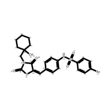 CC(=O)c1ccc(S(=O)(=O)Nc2ccc(C=C3SC(=O)N(CC4(C)CCCCC4)C3=O)cc2)cc1